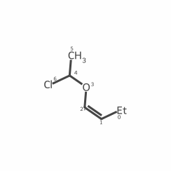 CC/C=[C]\OC(C)Cl